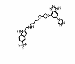 FC(F)(F)c1ccc2[nH]c(CNCCCCOC3CN(c4cc(-n5cnnc5)cc5[nH]nnc45)C3)cc2c1